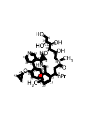 CCCC(CC(=O)N(C)C[C@H](O)[C@@H](O)[C@H](O)[C@H](O)CO)c1ccc(C)cc1CNC1(c2cnccc2-c2ccccc2OC2CC2)CC1